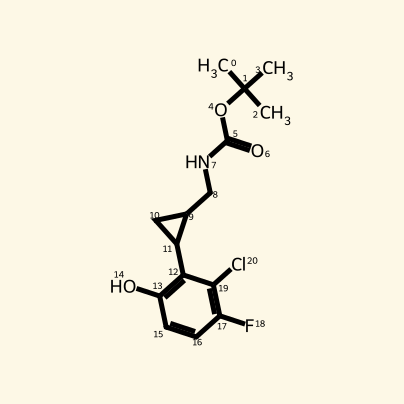 CC(C)(C)OC(=O)NCC1CC1c1c(O)ccc(F)c1Cl